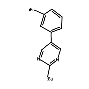 CC(C)c1cccc(-c2cnc(C(C)(C)C)nc2)c1